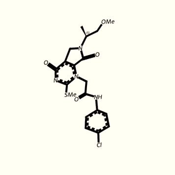 COC[C@H](C)N1Cc2c(n(CC(=O)Nc3ccc(Cl)cc3)c(SC)nc2=O)C1=O